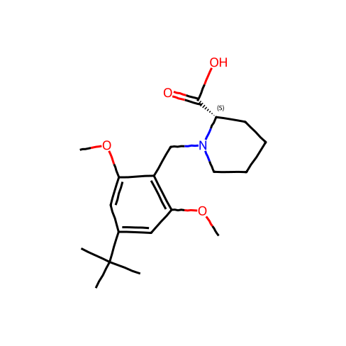 COc1cc(C(C)(C)C)cc(OC)c1CN1CCCC[C@H]1C(=O)O